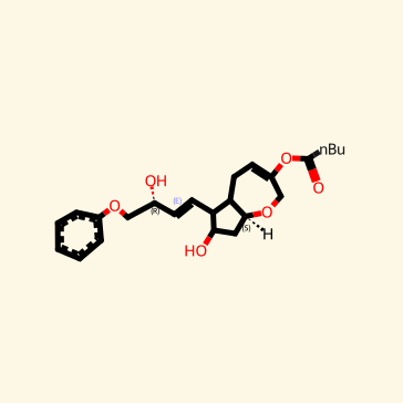 CCCCC(=O)OC1=CCC2C(/C=C/[C@@H](O)COc3ccccc3)C(O)C[C@@H]2OC1